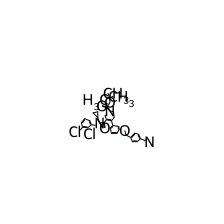 CC(C)(C)OC(=O)N1CCC(c2cccc(OCc3ccc(C#N)cc3)c2)=C(C(=O)N(Cc2cccc(Cl)c2Cl)C2CC2)C1